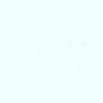 Cc1c(N2CCC(C(N)C3(O)CCCC3)C2)c(F)c(N)c2c(=O)[nH]c(=O)n(C3CC3)c12